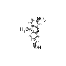 CN1c2ccc(C=NO)cc2Sc2cc([N+](=O)[O-])ccc21